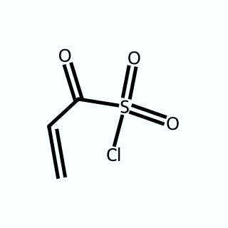 C=CC(=O)S(=O)(=O)Cl